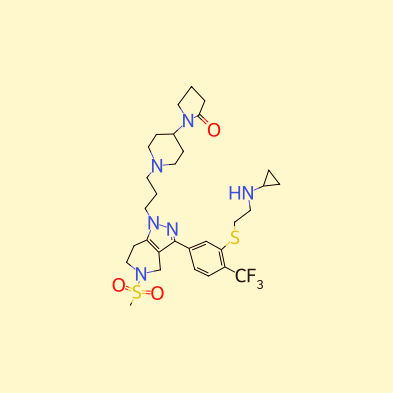 CS(=O)(=O)N1CCc2c(c(-c3ccc(C(F)(F)F)c(SCCNC4CC4)c3)nn2CCCN2CCC(N3CCCC3=O)CC2)C1